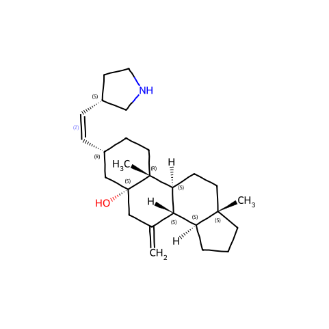 C=C1C[C@@]2(O)C[C@H](/C=C\[C@@H]3CCNC3)CC[C@]2(C)[C@H]2CC[C@]3(C)CCC[C@H]3[C@H]12